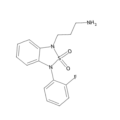 NCCCN1c2ccccc2N(c2ccccc2F)S1(=O)=O